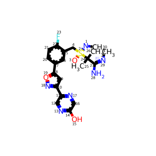 CN=S(=O)(Cc1cc(-c2cc(-c3cnc(O)cn3)no2)ccc1F)C(C)(C)/C(N)=N\C